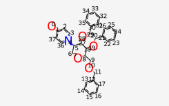 O=c1ccn([C@@H]2COC(COCc3ccccc3)C(OCc3ccccc3)C2OCc2ccccc2)cc1